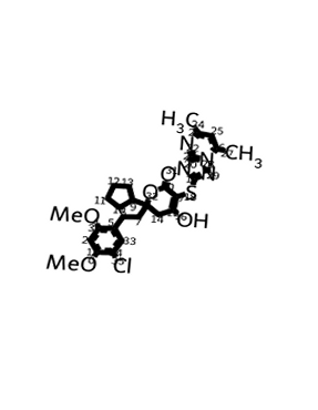 COc1cc(OC)c(CCC2(C3CCCC3)CC(O)=C(Sc3nc4nc(C)cc(C)n4n3)C(=O)O2)cc1Cl